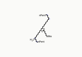 CCCCC/C=C\C/C=C\CCCCCCCC(CCCCCCCC/C=C(/C)C/C=C\CCCCC)OC(=O)CCCCNC